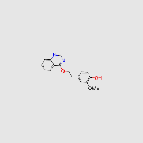 COc1cc(CCOc2ncnc3ccccc23)ccc1O